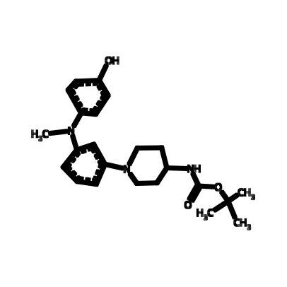 CN(c1ccc(O)cc1)c1cccc(N2CCC(NC(=O)OC(C)(C)C)CC2)c1